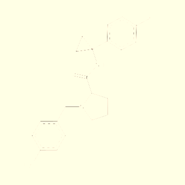 Cc1ccc(C2(NC(=O)C3CCCN3Cc3ccc(C(F)(F)F)cc3)CC2)cc1